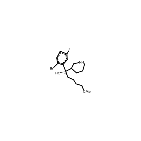 COCCCC[C@@](O)(c1cc(F)ccc1Br)C1CCCNC1